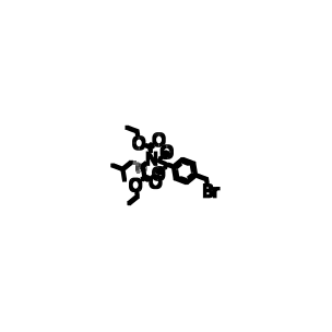 CCOC(=O)[C@H](CC(C)C)N(C(=O)OCC)S(=O)(=O)c1ccc(CBr)cc1